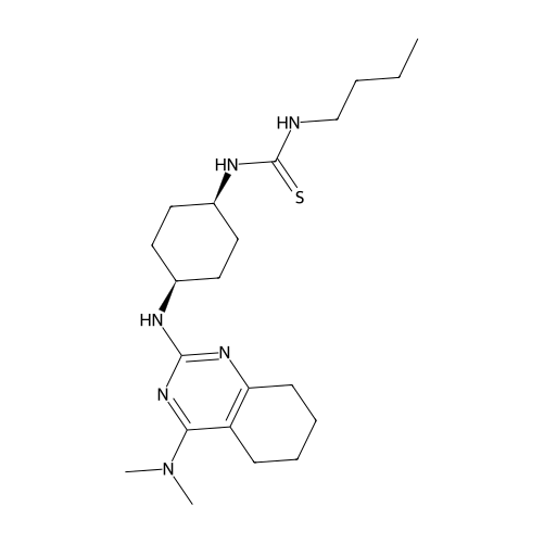 CCCCNC(=S)N[C@H]1CC[C@@H](Nc2nc3c(c(N(C)C)n2)CCCC3)CC1